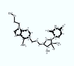 CCOCCn1cnc2c(N)[n+](COC[C@H]3O[C@@H](n4ccc(=O)[nH]c4=O)[C@](C)(F)[C@@H]3O)cnc21